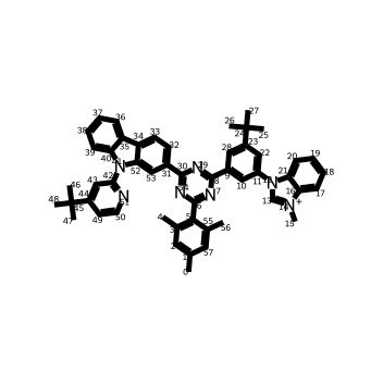 Cc1cc(C)c(-c2nc(-c3cc(-n4c[n+](C)c5ccccc54)cc(C(C)(C)C)c3)nc(-c3ccc4c5ccccc5n(-c5cc(C(C)(C)C)ccn5)c4c3)n2)c(C)c1